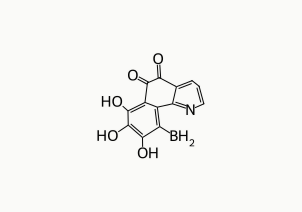 Bc1c(O)c(O)c(O)c2c1-c1ncccc1C(=O)C2=O